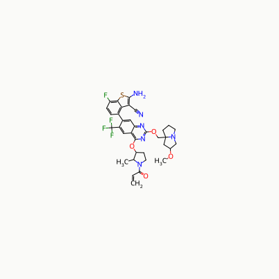 C=CC(=O)N1CCC(Oc2nc(OCC34CCCN3CC(OC)C4)nc3cc(-c4ccc(F)c5sc(N)c(C#N)c45)c(C(F)(F)F)cc23)C1C